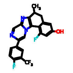 CC1Cc2cc(O)cc(F)c2-c2c1nc1cnc(-c3ccc(F)c(C(F)(F)F)c3)cn21